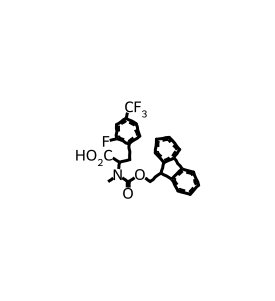 CN(C(=O)OCC1c2ccccc2-c2ccccc21)C(Cc1ccc(C(F)(F)F)cc1F)C(=O)O